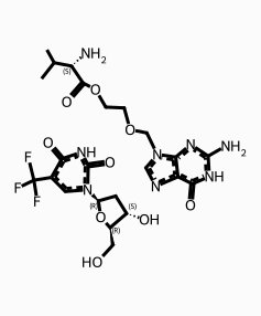 CC(C)[C@H](N)C(=O)OCCOCn1cnc2c(=O)[nH]c(N)nc21.O=c1[nH]c(=O)n([C@H]2C[C@H](O)[C@@H](CO)O2)cc1C(F)(F)F